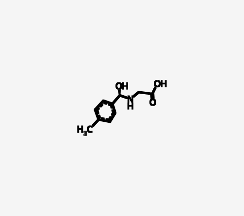 Cc1ccc([C@@H](O)NCC(=O)O)cc1